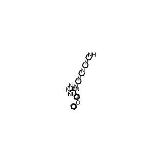 Nc1ncnc2c1c(-c1ccc(Oc3ccccc3)cc1)nn2C1CCN(C2CCN(C3CCN(C4CCNCC4)CC3)CC2)CC1